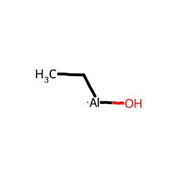 C[CH2][Al][OH]